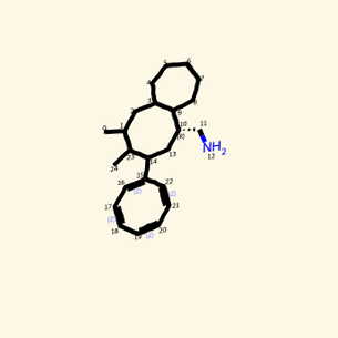 CC1CC2CCCCCC2[C@H](CN)CC(C2=C/C=C\C=C/C=C\2)C1C